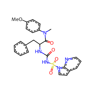 COc1ccc(N(C)C(=O)C(Cc2ccccc2)NC(=O)NS(=O)(=O)n2ccc3cccnc32)cc1